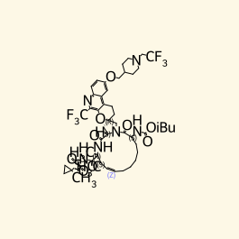 CC(C)COC(=O)N[C@H]1CCCCC/C=C\[C@H](C)[C@](C)(C(=O)NS(=O)(=O)C2(C)CC2)NC(=O)[C@@H]2C[C@]3(CCc4c(c(C(F)(F)F)nc5ccc(OCC6CCN(CC(F)(F)F)CC6)cc45)O3)CN2C1=O